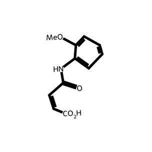 COc1ccccc1NC(=O)/C=C\C(=O)O